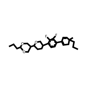 CCCC1OCC(C2CCC(c3ccc(C4=CCC(C)(CCC)C=C4)c(F)c3F)CO2)CO1